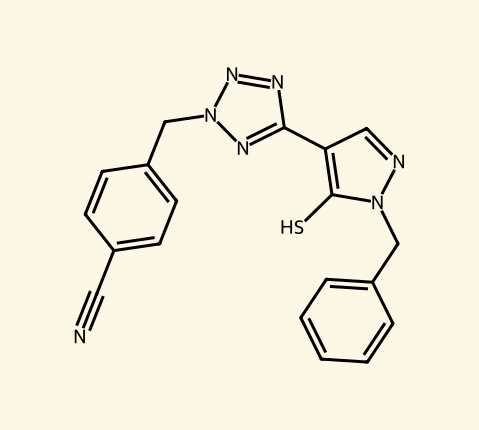 N#Cc1ccc(Cn2nnc(-c3cnn(Cc4ccccc4)c3S)n2)cc1